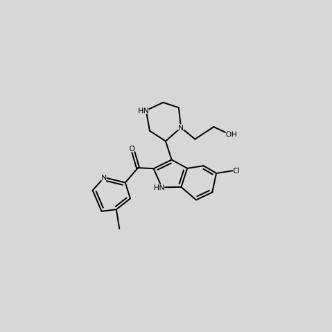 Cc1ccnc(C(=O)c2[nH]c3ccc(Cl)cc3c2C2CNCCN2CCO)c1